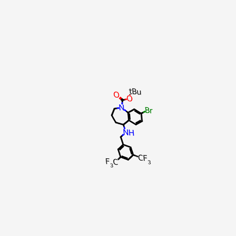 CC(C)(C)OC(=O)N1CCCC(NCc2cc(C(F)(F)F)cc(C(F)(F)F)c2)c2ccc(Br)cc21